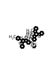 Cc1ccc(-c2cc3c(c4c2oc2ccccc24)-c2ccc(N(c4ccc5c(c4)C(C)(C)c4c6c(c7c(oc8ccccc87)c4-5)-c4ccccc4C6(C)C)c4ncccn4)cc2C3(C)C)cc1